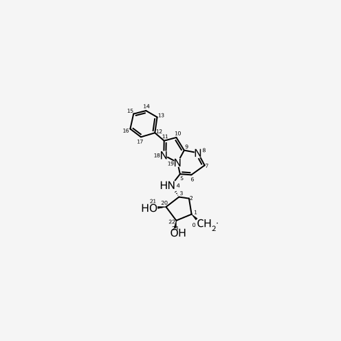 [CH2][C@@H]1C[C@@H](Nc2ccnc3cc(-c4ccccc4)nn23)[C@H](O)[C@@H]1O